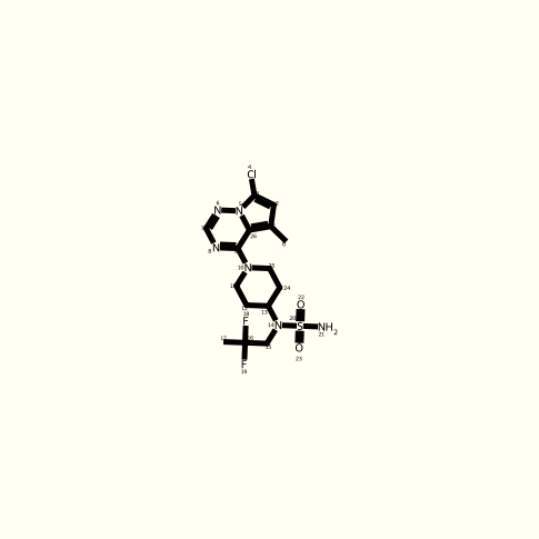 Cc1cc(Cl)n2ncnc(N3CCC(N(CC(C)(F)F)S(N)(=O)=O)CC3)c12